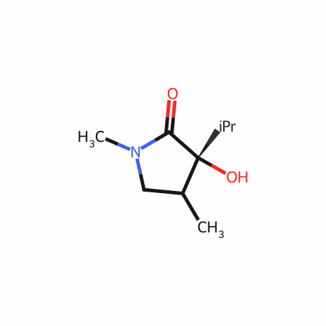 CC(C)[C@]1(O)C(=O)N(C)CC1C